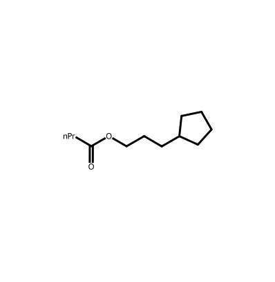 [CH2]CCC(=O)OCCCC1CCCC1